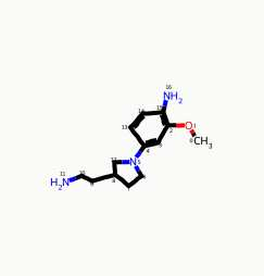 COc1cc(N2CCC(CCN)C2)ccc1N